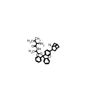 CC(NC(=O)C(N)C(C)C)C(=O)OC(c1ccccc1)(c1ccc(C2CC3CC4=C3[C@@H]2C4)cc1)c1ccccc1Cl